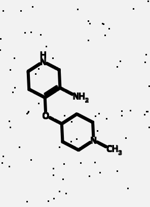 CN1CCC(OC2=C(N)CNCC2)CC1